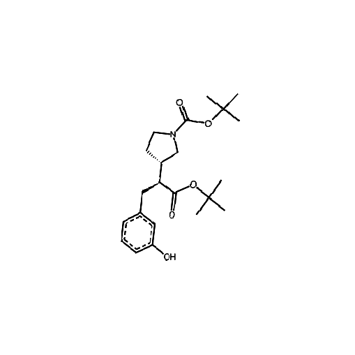 CC(C)(C)OC(=O)[C@@H](Cc1cccc(O)c1)[C@@H]1CCN(C(=O)OC(C)(C)C)C1